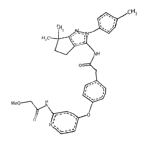 COCC(=O)Nc1cc(Oc2ccc(CC(=O)Nc3c4c(nn3-c3ccc(C)cc3)C(C)(C)CC4)cc2)ccn1